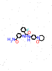 NC(=O)c1cccc(NC(C(=O)Nc2ccc(N3CCCCCC3=O)cc2)c2ccccc2F)c1